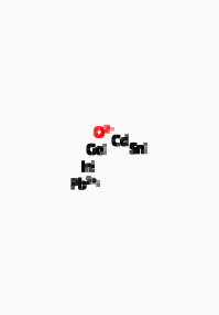 [Cd].[Ge].[In].[O-2].[Pb+2].[Sn]